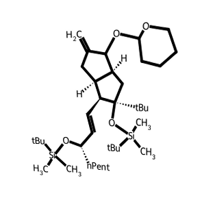 C=C1C[C@H]2[C@H](C[C@](O[Si](C)(C)C(C)(C)C)(C(C)(C)C)[C@H]2/C=C/[C@H](CCCCC)O[Si](C)(C)C(C)(C)C)C1OC1CCCCO1